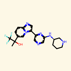 CC(O)(c1ccc2ncc(-c3cncc(N[C@@H]4CCCNC4)n3)n2c1)C(F)(F)F